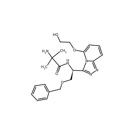 CC(C)(N)C(=O)N[C@H](COCc1ccccc1)c1nnc2cccc(OCCO)n12